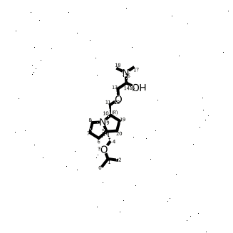 CC(C)OC[C@]12CCCN1[C@@H](COCC(O)N(C)C)CC2